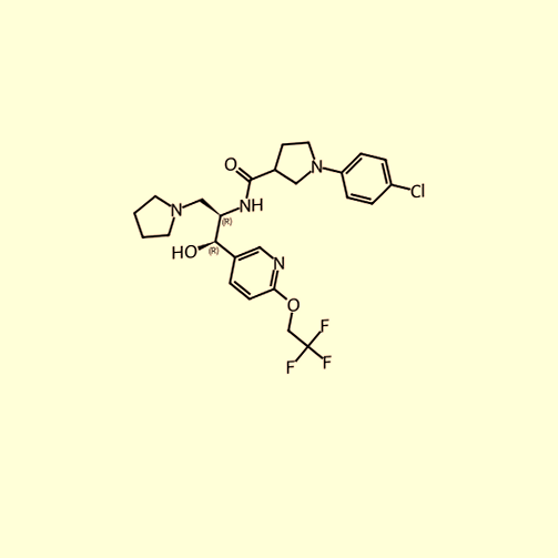 O=C(N[C@H](CN1CCCC1)[C@H](O)c1ccc(OCC(F)(F)F)nc1)C1CCN(c2ccc(Cl)cc2)C1